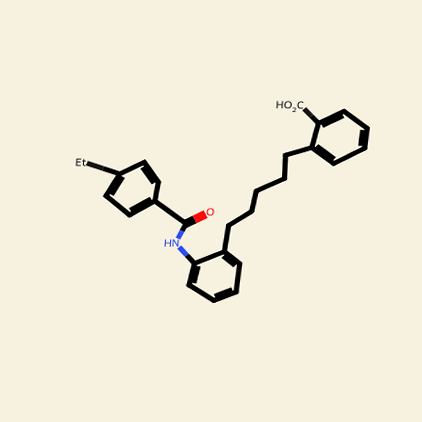 CCc1ccc(C(=O)Nc2ccccc2CCCCCc2ccccc2C(=O)O)cc1